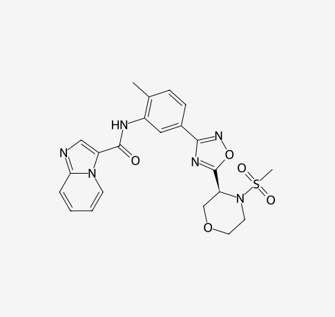 Cc1ccc(-c2noc([C@@H]3COCCN3S(C)(=O)=O)n2)cc1NC(=O)c1cnc2ccccn12